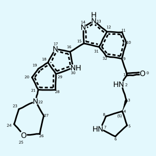 O=C(NC[C@H]1CCNC1)c1ccc2[nH]nc(-c3nc4ccc(N5CCOCC5)cc4[nH]3)c2c1